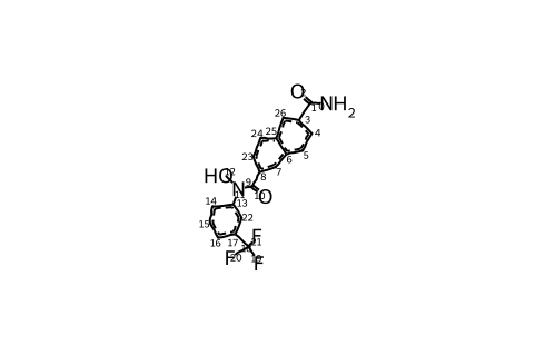 NC(=O)c1ccc2cc(C(=O)N(O)c3cccc(C(F)(F)F)c3)ccc2c1